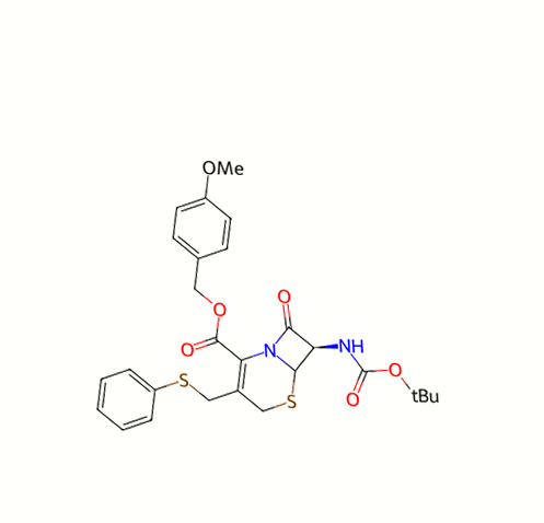 COc1ccc(COC(=O)C2=C(CSc3ccccc3)CSC3[C@H](NC(=O)OC(C)(C)C)C(=O)N23)cc1